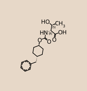 C[C@H](O)[C@@H](NC(=O)O[C@H]1CC[C@H](Cc2ccccc2)CC1)C(=O)O